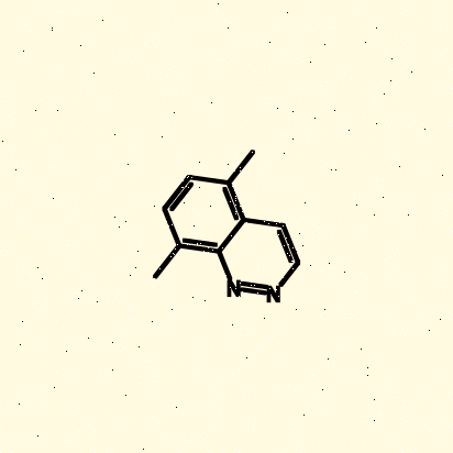 Cc1ccc(C)c2nnccc12